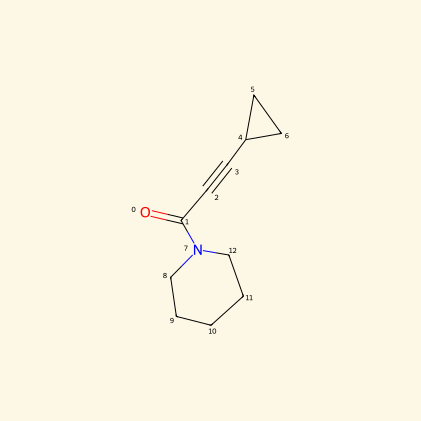 O=C(C#CC1CC1)N1CCCCC1